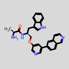 C[C@H](N)C(=O)N[C@H](COc1cncc(-c2ccc3cnccc3c2)c1)Cc1c[nH]c2ccccc12